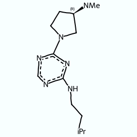 CN[C@@H]1CCN(c2ncnc(NCCC(C)C)n2)C1